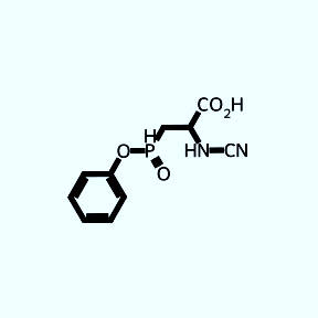 N#CNC(C[PH](=O)Oc1ccccc1)C(=O)O